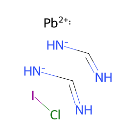 ClI.N=C[NH-].N=C[NH-].[Pb+2]